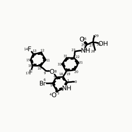 Cc1[nH]c(=O)c(Br)c(OCc2ccc(F)cc2F)c1-c1ccc(CNC(=O)C(C)(C)O)cc1